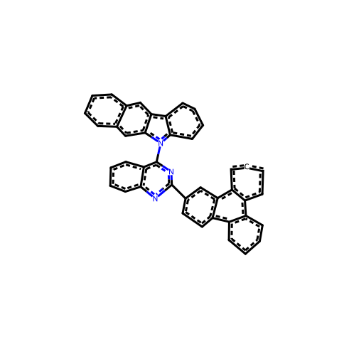 c1ccc2cc3c(cc2c1)c1ccccc1n3-c1nc(-c2ccc3c4ccccc4c4ccccc4c3c2)nc2ccccc12